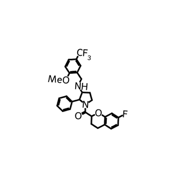 COc1ccc(C(F)(F)F)cc1CNC1CCN(C(=O)C2CCc3ccc(F)cc3O2)C1c1ccccc1